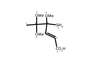 COC([SiH3])(C=CC(=O)O)C(C)(OC)OC